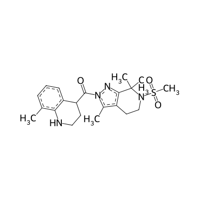 Cc1cccc2c1NCCC2C(=O)n1nc2c(c1C)CCN(S(C)(=O)=O)C2(C)C